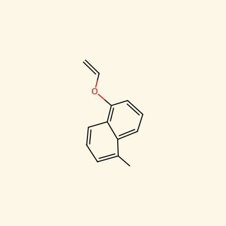 C=COc1cccc2c(C)cccc12